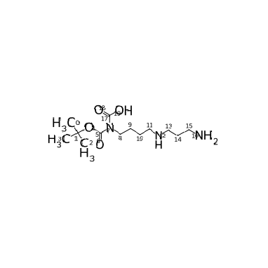 CC(C)(C)OC(=O)N(CCCCNCCCN)C(=O)O